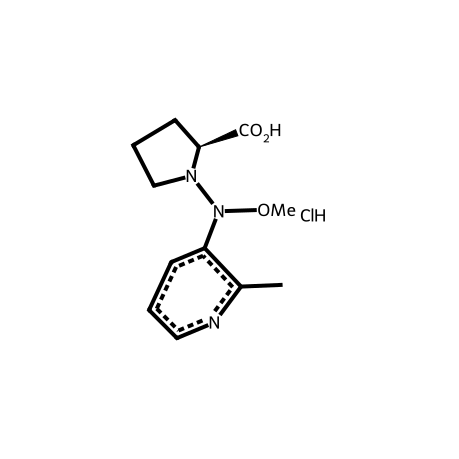 CON(c1cccnc1C)N1CCC[C@H]1C(=O)O.Cl